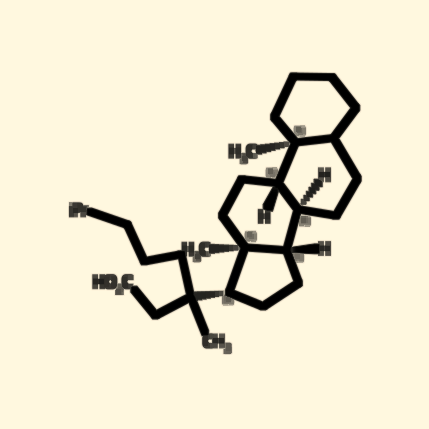 CC(C)CCCC(C)(CC(=O)O)[C@H]1CC[C@H]2[C@@H]3CCC4CCCC[C@]4(C)[C@H]3CC[C@]12C